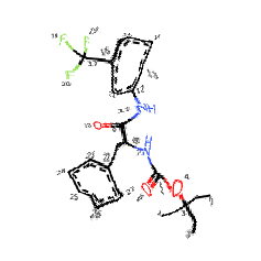 CC(C)(C)OC(=O)NC(C(=O)Nc1cccc(C(F)(F)F)c1)c1ccccc1